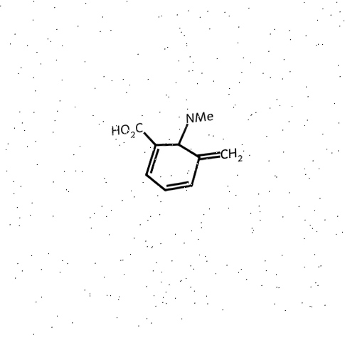 C=C1C=CC=C(C(=O)O)C1NC